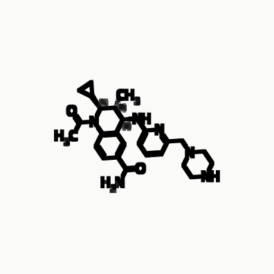 CC(=O)N1c2ccc(C(N)=O)cc2[C@H](Nc2cccc(CN3CCNCC3)n2)[C@@H](C)[C@@H]1C1CC1